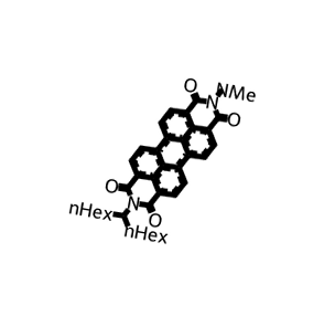 CCCCCCC(CCCCCC)N1C(=O)c2ccc3c4ccc5c6c(ccc(c7ccc(c2c37)C1=O)c64)C(=O)N(NC)C5=O